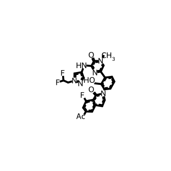 CC(=O)c1cc(F)c2c(=O)n(-c3cccc(-c4cn(C)c(=O)c(Nc5cnn(CC(F)F)c5)n4)c3CO)ccc2c1